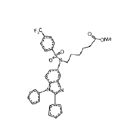 COC(=O)CCCCCN(c1ccc2c(c1)nc(-c1ccccc1)n2-c1ccccc1)S(=O)(=O)c1ccc(C(F)(F)F)cc1